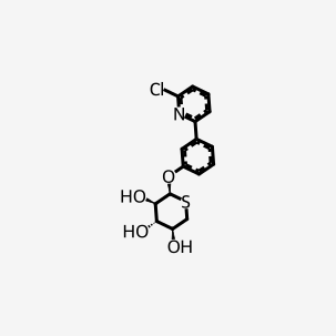 O[C@@H]1[C@@H](O)[C@@H](Oc2cccc(-c3cccc(Cl)n3)c2)SC[C@H]1O